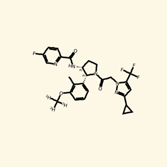 [2H]C([2H])([2H])Oc1cccc([C@@H]2[C@H](NC(=O)c3ccc(F)cn3)CCN2C(=O)Cn2nc(C3CC3)cc2C(F)(F)F)c1C